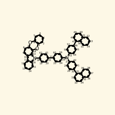 c1ccc2c(c1)Oc1ccc3c4ccccc4n(-c4ccc(-c5ccc(N(c6ccc(-c7cccc8ccccc78)cc6)c6ccc(-c7cccc8ccccc78)cc6)cc5)cc4)c3c1O2